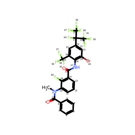 CN(C(=O)c1ccccc1)c1cccc(C(=O)Nc2c(Br)cc(C(F)(C(F)(F)F)C(F)(F)F)cc2C(F)(F)F)c1F